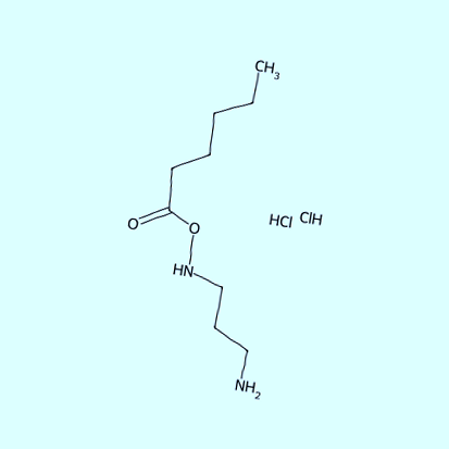 CCCCCC(=O)ONCCCN.Cl.Cl